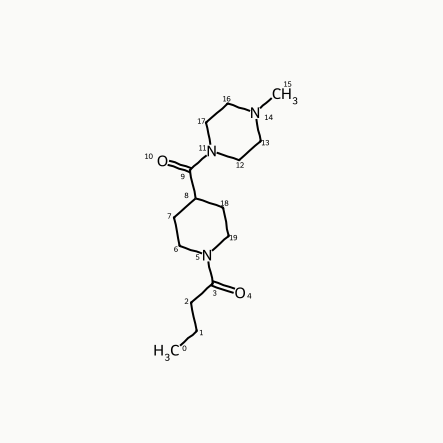 CCCC(=O)N1CCC(C(=O)N2CCN(C)CC2)CC1